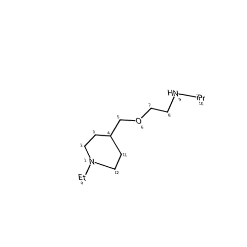 CCN1CCC(COCCNC(C)C)CC1